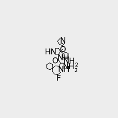 NC(N)C(C(=O)NC1CNCCC1(O[C@@H]1C[N@@]2CCC1C2)C1CCCCC1)C1CC2(CCCCC2)CCC(F)CN1